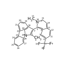 Cc1c(-c2c3cc(C(F)(F)F)ccc3cc[n+]2C)c2cccc3c4ccccc4n1c23